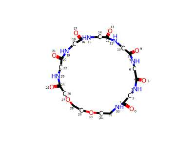 O=C1CNC(=O)CNC(=O)CNC(=O)CNC(=O)CNC(=O)CNC(=O)COCCOCCN1